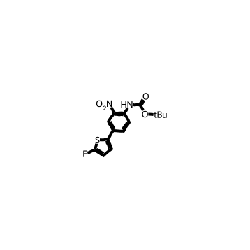 CC(C)(C)OC(=O)Nc1ccc(-c2ccc(F)s2)cc1[N+](=O)[O-]